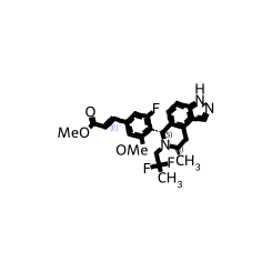 COC(=O)/C=C/c1cc(F)c([C@@H]2c3ccc4[nH]ncc4c3C[C@@H](C)N2CC(C)(F)F)c(OC)c1